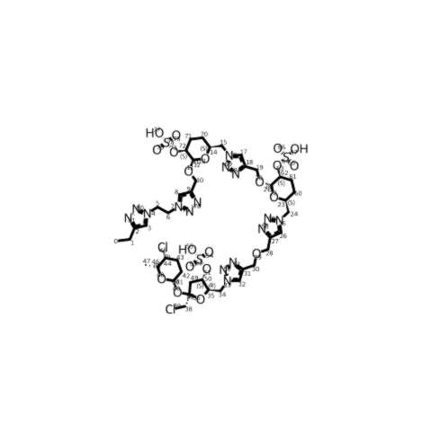 CCc1cn(CCn2cc(CO[C@@H]3O[C@H](Cn4cc(CO[C@H]5O[C@H](Cn6cc(COCc7cn(C[C@H]8O[C@@](CCl)(O[C@@H]9CC[C@@H](Cl)[C@@H](C)O9)C[C@@H]8OS(=O)(=O)O)nn7)nn6)CC[C@@H]5OS(=O)(=O)O)nn4)CC[C@@H]3OS(=O)(=O)O)nn2)nn1